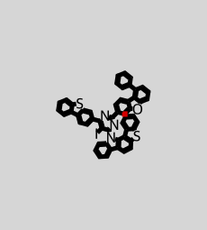 Ic1c(-c2ccc3c(c2)sc2ccccc23)nc(-c2ccc3c(c2)oc2cccc(-c4ccccc4)c23)nc1-n1c2ccccc2c2ccc3sc4ccccc4c3c21